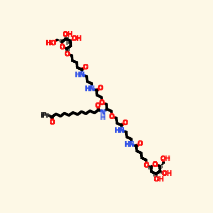 CC(C)C(=O)CCCCCCCCCCC(=O)NC(COCCC(=O)NCCCNC(=O)CCCCO[C@H]1C[C@@H](O)[C@@H](O)[C@@H](CO)O1)COCCC(=O)NCCCNC(=O)CCCCO[C@H]1C[C@@H](O)[C@@H](O)[C@@H](CO)O1